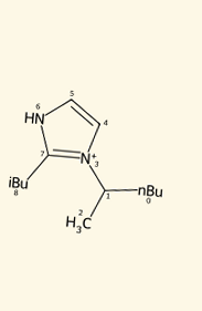 CCCCC(C)[n+]1cc[nH]c1C(C)CC